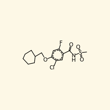 CS(=O)(=O)NC(=O)c1cc(Cl)c(OCC2CCCCC2)cc1F